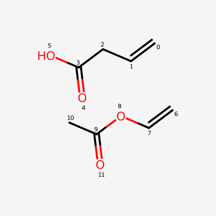 C=CCC(=O)O.C=COC(C)=O